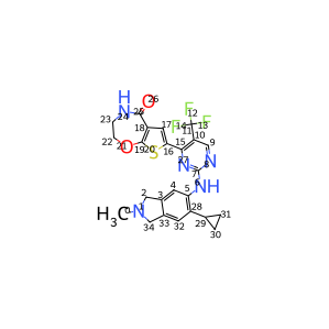 CN1Cc2cc(Nc3ncc(C(F)(F)F)c(-c4cc5c(s4)OCCNC5=O)n3)c(C3CC3)cc2C1